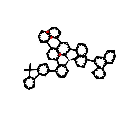 CC1(C)c2ccccc2-c2cc(-c3cccc(N(c4ccc(-c5cc6ccccc6c6ccccc56)cc4)c4ccc(-c5ccccc5)cc4-c4ccccc4)c3-c3ccc(-c4ccccc4)cc3)ccc21